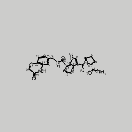 NC(=O)[C@H]1CCCN1C(=O)c1c[nH]c2c(C(=O)NCc3ccc4c(c3)NC(=O)CO4)ncnc12